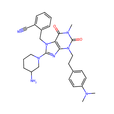 CN(C)c1ccc(CCn2c(=O)n(C)c(=O)c3c2nc(N2CCCC(N)C2)n3Cc2ccccc2C#N)cc1